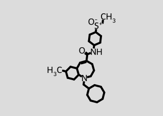 CC[S+]([O-])C1CCC(NC(=O)/C2=C/C3CC(C)CCC3N(CC3CCCCCCC3)CCC2)CC1